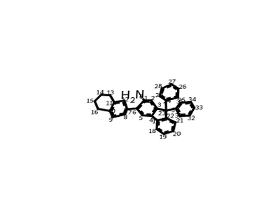 Nc1cc2c(cc1-c1ccc3c(c1)CCCC3)-c1ccccc1C2(c1ccccc1)c1ccccc1